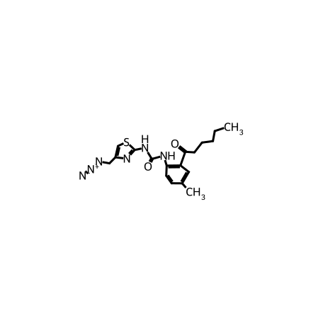 CCCCCC(=O)c1cc(C)ccc1NC(=O)Nc1nc(CN=[N+]=[N-])cs1